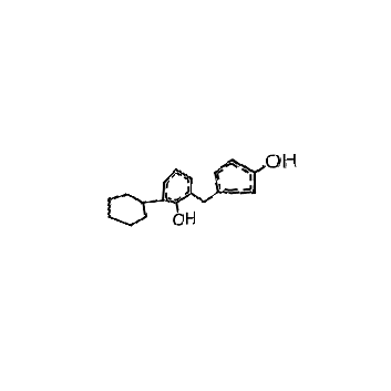 Oc1ccc(Cc2cccc(C3CCCCC3)c2O)cc1